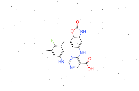 Cc1cc(Nc2ncc(C(=O)O)c(Nc3ccc4oc(=O)[nH]c4c3)n2)cc(C)c1F